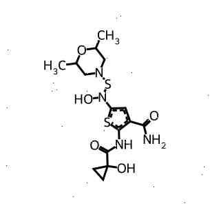 CC1CN(SN(O)c2cc(C(N)=O)c(NC(=O)C3(O)CC3)s2)CC(C)O1